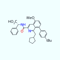 COc1ccc(-c2ccc(C(C)(C)C)cc2)c2c(CC3CCCC3)nc(C(=O)N[C@@H](C(=O)O)c3ccccc3)cc12